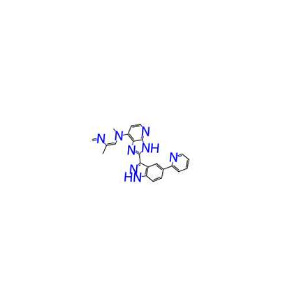 C=N/C(C)=C\N(C)c1ccnc2[nH]c(-c3n[nH]c4ccc(-c5ccccn5)cc34)nc12